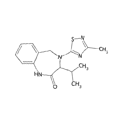 Cc1nsc(N2Cc3ccccc3NC(=O)C2C(C)C)n1